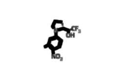 Cc1cc(N2CCC[C@@H]2[C@@H](O)C(F)(F)F)ccc1[N+](=O)[O-]